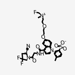 C[N+](C)(CF)CCOCCOc1ccc2nccc(C(=O)NCC(=O)N3CC(F)(F)C[C@H]3C#N)c2c1.Cc1ccc(S(=O)(=O)[O-])cc1